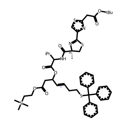 CC(C)C(NC(=O)[C@]1(C)CSC(c2csc(CC(=O)OC(C)(C)C)n2)=N1)C(=O)OC(/C=C/CCSC(c1ccccc1)(c1ccccc1)c1ccccc1)CC(=O)OCC[Si](C)(C)C